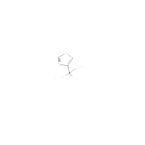 CCCCCCC(C)(CCCC)c1c[nH]cn1